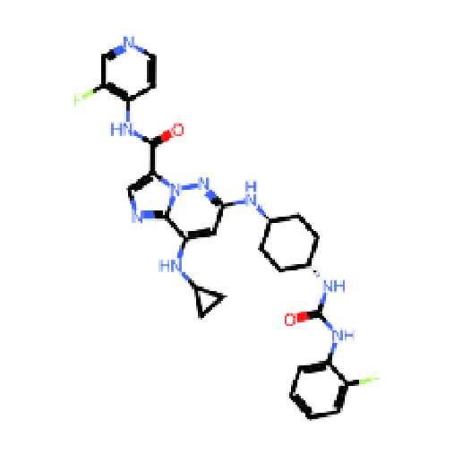 O=C(Nc1ccccc1F)N[C@H]1CC[C@H](Nc2cc(NC3CC3)c3ncc(C(=O)Nc4ccncc4F)n3n2)CC1